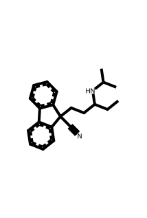 CCC(CCC1(C#N)c2ccccc2-c2ccccc21)NC(C)C